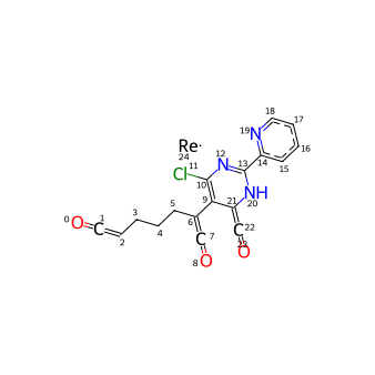 O=C=CCCCC(=C=O)C1=C(Cl)N=C(c2ccccn2)NC1=C=O.[Re]